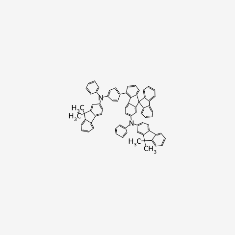 CC1(C)c2ccccc2-c2ccc(N(c3ccccc3)c3ccc(-c4cccc5c4-c4ccc(N(c6ccccc6)c6ccc7c(c6)C(C)(C)c6ccccc6-7)cc4C54c5ccccc5-c5ccccc54)cc3)cc21